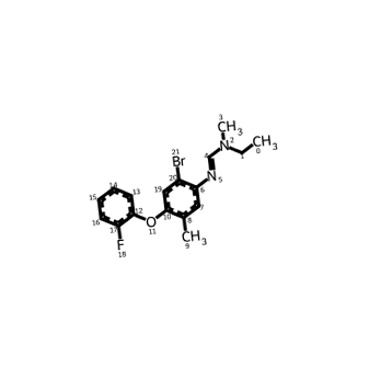 CCN(C)/C=N/c1cc(C)c(Oc2ccccc2F)cc1Br